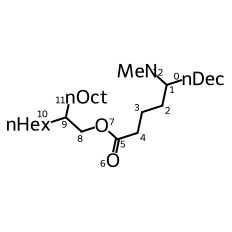 CCCCCCCCCCC(CCCC(=O)OCC(CCCCCC)CCCCCCCC)NC